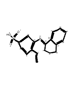 C=Cc1ccc(S(=O)(=O)O)cc1N=C1CCCc2ccccc21